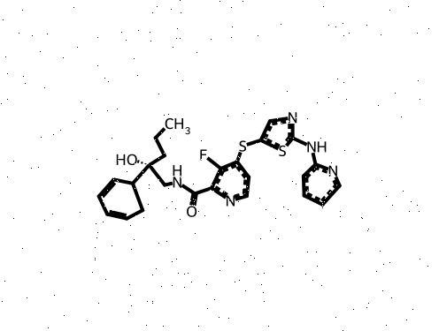 CCC[C@@](O)(CNC(=O)c1nccc(Sc2cnc(Nc3ccccn3)s2)c1F)C1C=CC=CC1